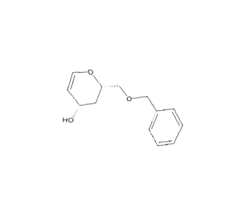 O[C@@H]1C=CO[C@H](COCc2ccccc2)C1